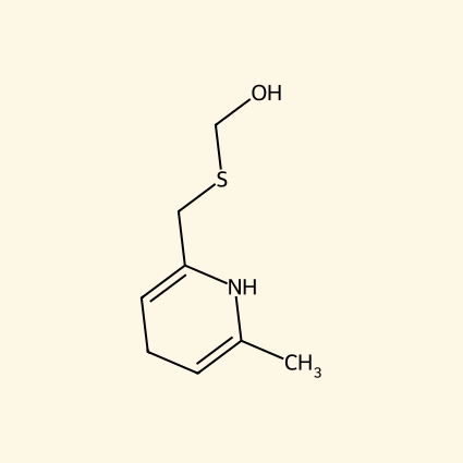 CC1=CCC=C(CSCO)N1